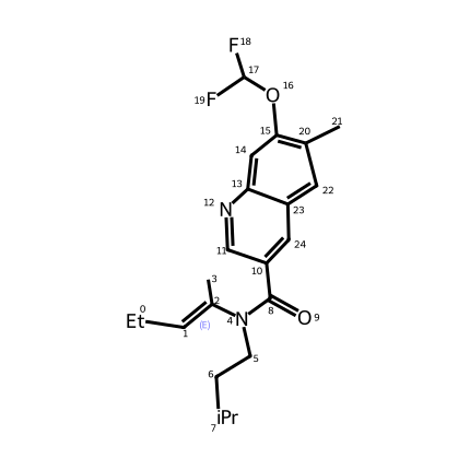 CC/C=C(\C)N(CCC(C)C)C(=O)c1cnc2cc(OC(F)F)c(C)cc2c1